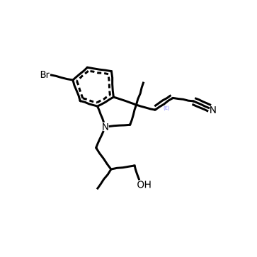 CC(CO)CN1CC(C)(/C=C/C#N)c2ccc(Br)cc21